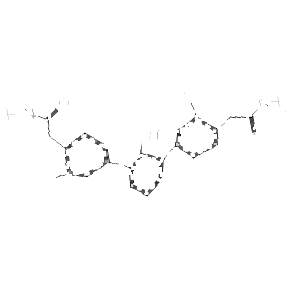 NC(=O)Cc1ccc(-c2cccc(-c3ccc(CC(N)=O)c(Cl)c3)c2O)cc1F